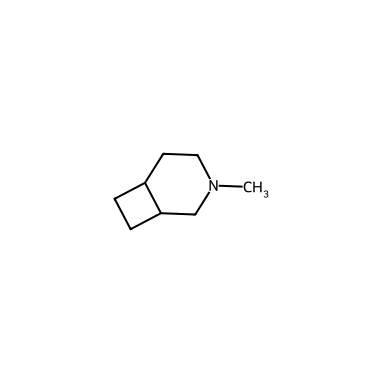 CN1CCC2CCC2C1